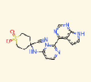 N#CC1(Nc2ccnc(-c3ncnc4[nH]ccc34)n2)CCS(=O)(=O)CC1